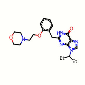 CCC(CC)n1cnc2c(=O)[nH]c(Cc3ccccc3OCCN3CCOCC3)nc21